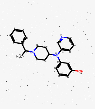 CC(c1ccccc1)N1CCC(N(c2cccnc2)c2cccc(O)c2)CC1